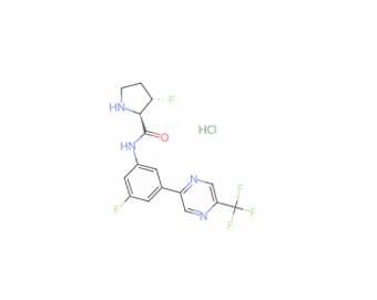 Cl.O=C(Nc1cc(F)cc(-c2cnc(C(F)(F)F)cn2)c1)[C@H]1NCC[C@@H]1F